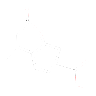 COC(=O)c1ccc2c(C)cc(=O)oc2c1